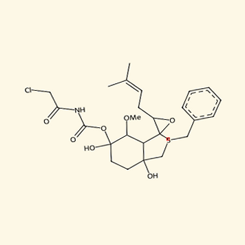 COC1C(C2(C)OC2CC=C(C)C)C(O)(CSCc2ccccc2)CCC1(O)OC(=O)NC(=O)CCl